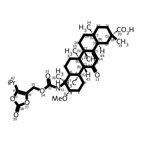 CO[C@H]1CC[C@@]2(C)C(CC[C@]3(C)[C@@H]2C(=O)C=C2[C@@H]4C[C@@](C)(C(=O)O)CC[C@]4(C)CC[C@]23C)[C@]1(C)NC(=O)OCc1oc(=O)oc1C(C)C